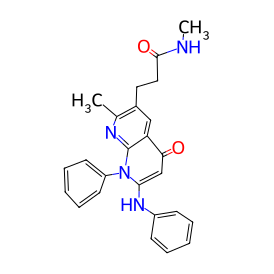 CNC(=O)CCc1cc2c(=O)cc(Nc3ccccc3)n(-c3ccccc3)c2nc1C